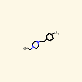 CC(C)(C)CN1CCN(CCc2ccc(C(F)(F)F)cc2)CC1